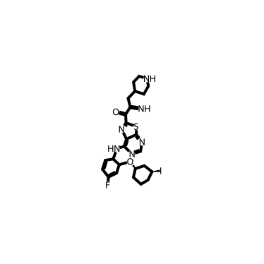 N=C(CC1CCNCC1)C(=O)c1nc2c(NC3C=CC(F)=CC3O[C@@H]3CCC[C@H](I)C3)ncnc2s1